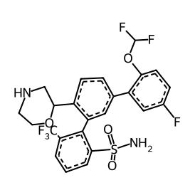 NS(=O)(=O)c1cccc(C(F)(F)F)c1-c1cc(-c2cc(F)ccc2OC(F)F)ccc1C1CNCCO1